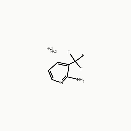 Cl.Cl.Nc1ncccc1C(F)(F)F